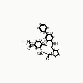 CC(C)(C)OC(=O)N1CCCC1CNc1ccc(-c2ccccc2)cc1Oc1ccc(C(N)=O)cc1